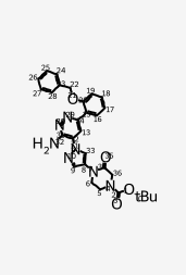 CC(C)(C)OC(=O)N1CCN(c2cnn(-c3cc(-c4ccccc4OCc4ccccc4)nnc3N)c2)C(=O)C1